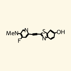 CNc1cnc(C#Cc2nc3ccc(O)cc3s2)cc1F